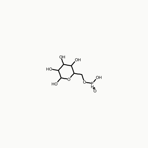 O=[PH](O)OCC1OC(O)C(O)C(O)C1O